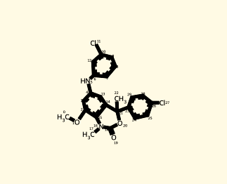 COc1cc(Nc2cccc(Cl)c2)cc2c1N(C)C(=O)OC2(C)c1ccc(Cl)cc1